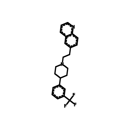 FC(F)(F)c1cccc(C2CCN(CCc3ccc4ncccc4c3)CC2)c1